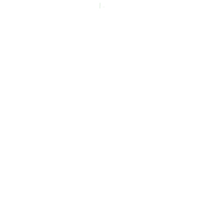 Fc1ccc(/C=C/CCCBr)cc1